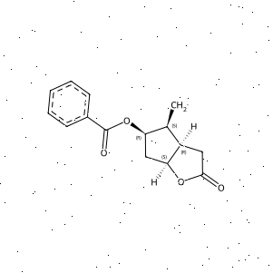 [CH2][C@H]1[C@H]2CC(=O)O[C@H]2C[C@H]1OC(=O)c1ccccc1